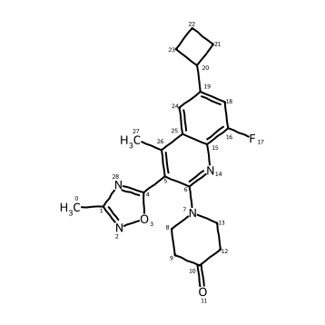 Cc1noc(-c2c(N3CCC(=O)CC3)nc3c(F)cc(C4CCC4)cc3c2C)n1